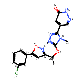 C[C@@H](Oc1nnc(-c2cn[nH]c(=O)c2)n1C)c1cc(-c2cccc(Cl)c2)on1